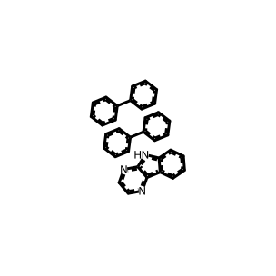 c1ccc(-c2ccccc2)cc1.c1ccc(-c2ccccc2)cc1.c1ccc2c(c1)[nH]c1nccnc12